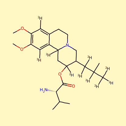 [2H]c1c2c(c([2H])c(OC)c1OC)C1([2H])CC([2H])(OC(=O)[C@@H](N)C(C)C)C(C([2H])([2H])C([2H])(C)C([2H])([2H])[2H])CN1CC2